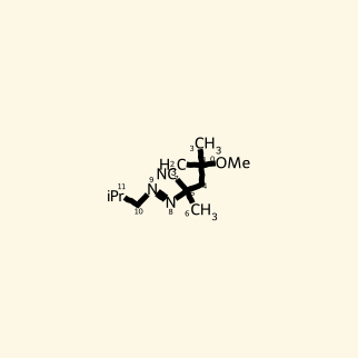 COC(C)(C)CC(C)(C#N)N=NCC(C)C